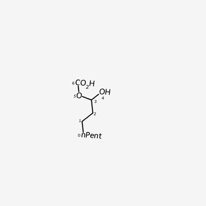 CCCCCCCC(O)OC(=O)O